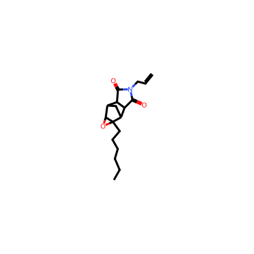 C=CCN1C(=O)C2C3CC(C2C1=O)C1(CCCCCC)OC31